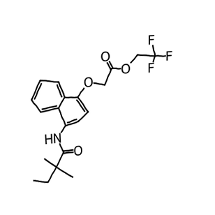 CCC(C)(C)C(=O)Nc1ccc(OCC(=O)OCC(F)(F)F)c2ccccc12